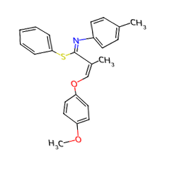 COc1ccc(OC=C(C)C(=Nc2ccc(C)cc2)Sc2ccccc2)cc1